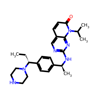 CC[C@H](c1ccc([C@H](C)Nc2ncc3ccc(=O)n(C(C)C)c3n2)cc1)N1CCNCC1